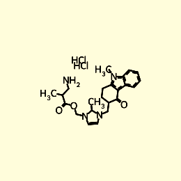 CC(CN)C(=O)OCN1C=CN(CC2CCc3c(c4ccccc4n3C)C2=O)C1C.Cl.Cl